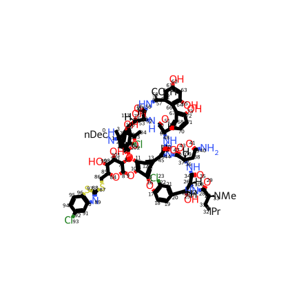 CCCCCCCCCCNC1(C)CC(OC2C(Oc3c4cc5cc3Oc3ccc(cc3Cl)[C@@H](O)[C@@H](NC(=O)[C@H](CC(C)C)NC)C(=O)N[C@@H](CC(N)=O)C(=O)N[C@H]5C(=O)N[C@H]3C(=O)N[C@H](C(=O)N[C@@H](C(=O)O)c5cc(O)cc(O)c5-c5cc3ccc5O)[C@H](O)c3ccc(c(Cl)c3)O4)OC(CSc3nc4cc(Cl)ccc4s3)C(O)C2O)OC(C)C1O